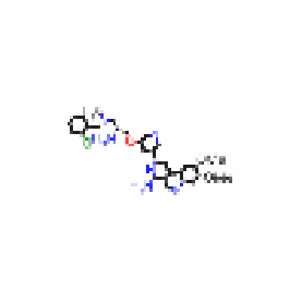 COc1cc2ncc3c(N)nc(-c4cncc(OC[C@@H](N)CN(C)Cc5ccccc5Cl)c4)cc3c2cc1OC